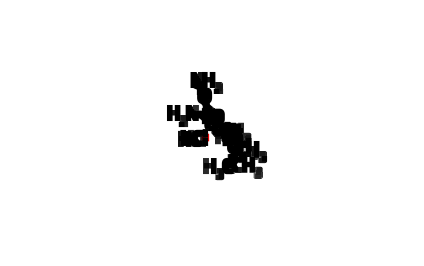 CC(C)CCC[C@@H](C)[C@H]1CC[C@H]2[C@@H]3CC=C4C[C@@H](OC(=O)N(CCCN)CCCCOCCCN)CC[C@]4(C)[C@H]3CC[C@]12C.Cl.Cl